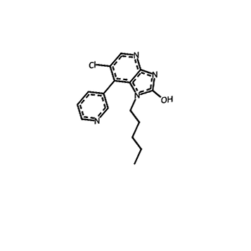 CCCCCn1c(O)nc2ncc(Cl)c(-c3cccnc3)c21